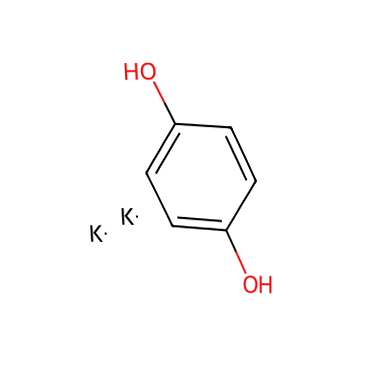 Oc1ccc(O)cc1.[K].[K]